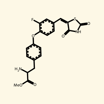 COC(=O)C(N)Cc1ccc(Oc2ccc(C=C3SC(=O)NC3=O)cc2F)cc1